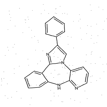 c1ccc(-c2cn3c(n2)-c2ccccc2Nc2ncccc2-3)cc1